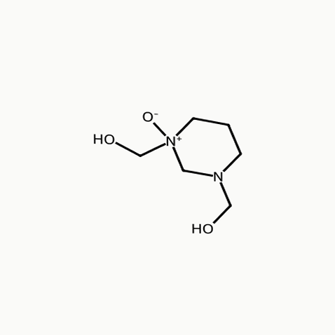 [O-][N+]1(CO)CCCN(CO)C1